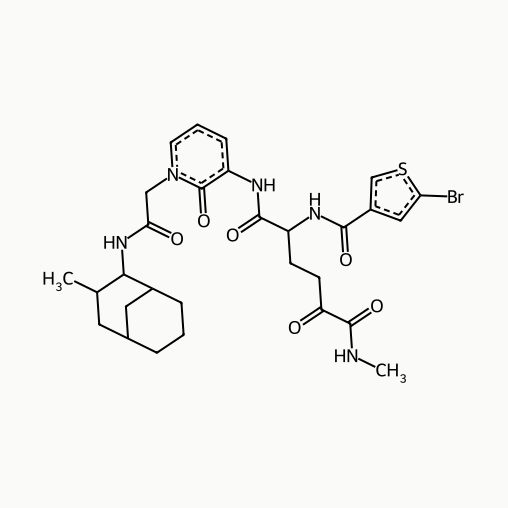 CNC(=O)C(=O)CCC(NC(=O)c1csc(Br)c1)C(=O)Nc1cccn(CC(=O)NC2C(C)CC3CCCC2C3)c1=O